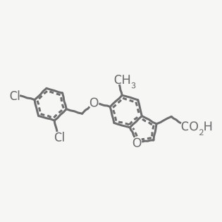 Cc1cc2c(CC(=O)O)coc2cc1OCc1ccc(Cl)cc1Cl